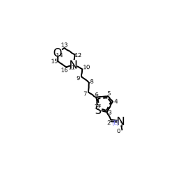 C/N=C/c1ccc(CCCCN2CCOCC2)s1